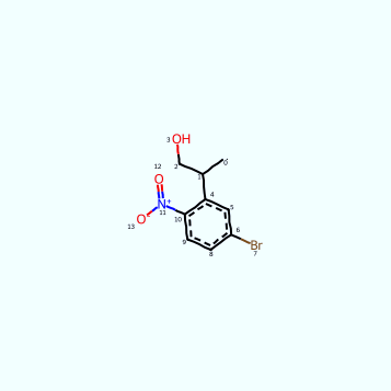 [CH2]C(CO)c1cc(Br)ccc1[N+](=O)[O-]